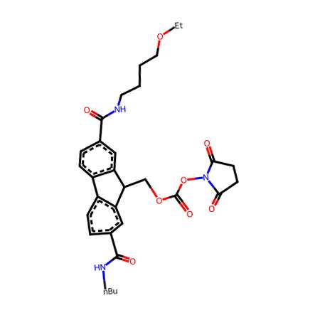 CCCCNC(=O)c1ccc2c(c1)C(COC(=O)ON1C(=O)CCC1=O)c1cc(C(=O)NCCCCOCC)ccc1-2